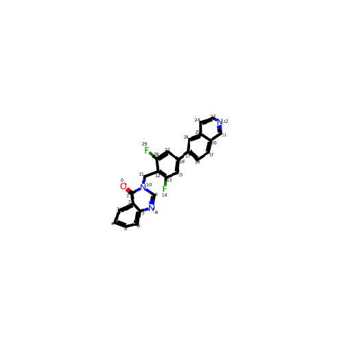 O=c1c2ccccc2ncn1Cc1c(F)cc(-c2ccc3cnccc3c2)cc1F